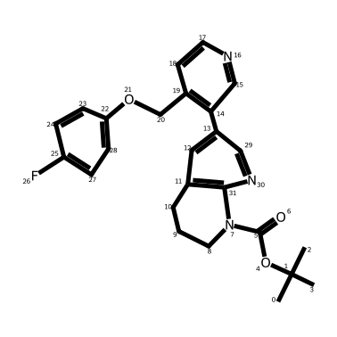 CC(C)(C)OC(=O)N1CCCc2cc(-c3cnccc3COc3ccc(F)cc3)cnc21